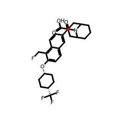 O=C(O)C1CC2CCCC(C1)N2C(=O)c1ccc2c(CF)c(O[C@H]3CC[C@@H](C(F)(F)F)CC3)ccc2c1